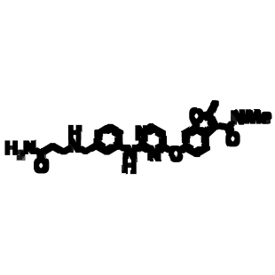 CNC(=O)c1c(C)oc2cc(Oc3ccnc(Nc4cccc(CNCCC(N)=O)c4)n3)ccc12